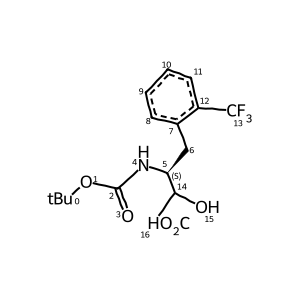 CC(C)(C)OC(=O)N[C@@H](Cc1ccccc1C(F)(F)F)C(O)C(=O)O